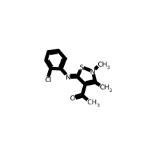 CC(=O)c1c(C)n(C)sc1=Nc1ccccc1Cl